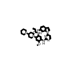 C=CC(=O)Nc1cc(Nc2nccc(-n3ccc4ccc(F)cc43)n2)c(OC)cc1N1CCC(N2CCCCC2)CC1